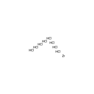 Cl.Cl.Cl.Cl.Cl.Cl.Cl.Cl.[Zr]